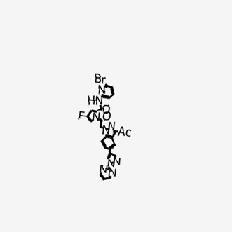 CC(=O)c1nn(CC(=O)N2C[C@H](F)C[C@H]2C(=O)Nc2cccc(Br)n2)c2ccc(-c3cnn(-c4ncccn4)c3)cc12